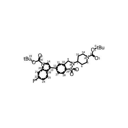 CC(C)(C)OC(=O)N1CCC(N2Cc3cc(-c4cn(C(=O)OC(C)(C)C)c5cc(F)ccc45)ccc3S2(=O)=O)CC1